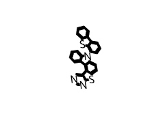 c1ccc2c(c1)sc1c(-n3c4ccccc4c4c5c(ccc43)sc3ncncc35)cccc12